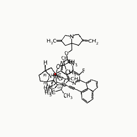 C=C1CN2CC(=C)CC2(COc2nc3c4c(nc(-c5cccc6cccc(C#C[Si](C(C)C)(C(C)C)C(C)C)c56)c(F)c4n2)O[C@@H](C)[C@@H]2[C@@H]4CC[C@H](CN32)N4C(=O)OC(C)(C)C)C1